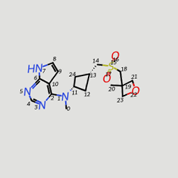 CN(c1ncnc2[nH]ccc12)[C@H]1C[C@@H](CS(=O)(=O)CC2(C)COC2)C1